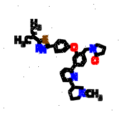 CC(C)c1nnc(-c2ccc(Oc3cc(-c4cccc(C5CCCN(C)C5)n4)ccc3CN3CCCC3=O)cc2)s1